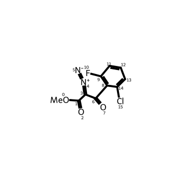 COC(=O)C(=[N+]=[N-])C(=O)c1c(F)cccc1Cl